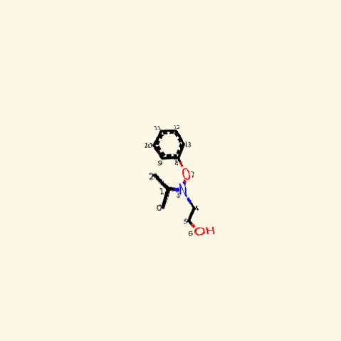 CC(C)N(CCO)Oc1ccccc1